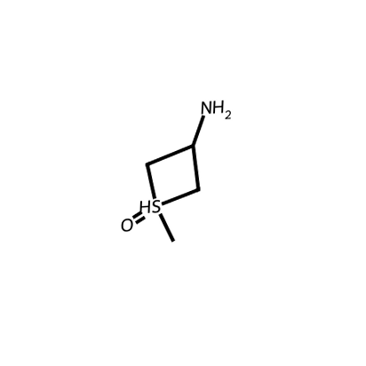 C[SH]1(=O)CC(N)C1